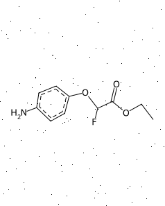 CCOC(=O)C(F)Oc1ccc(N)cc1